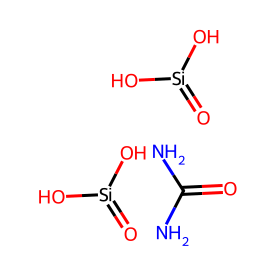 NC(N)=O.O=[Si](O)O.O=[Si](O)O